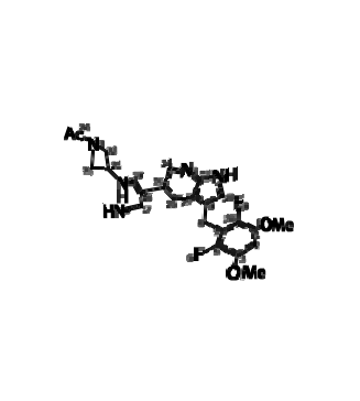 COc1cc(OC)c(F)c(Cc2c[nH]c3ncc(/C(C=N)=C/NC4CN(C(C)=O)C4)cc23)c1F